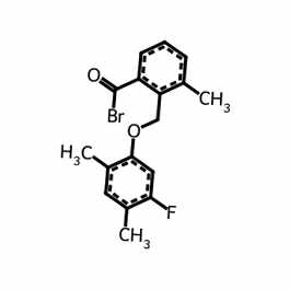 Cc1cc(C)c(OCc2c(C)cccc2C(=O)Br)cc1F